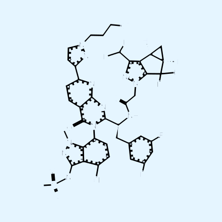 Cn1nc(NS(C)(=O)=O)c2c(Cl)ccc(-n3c([C@H](Cc4cc(F)cc(F)c4)NC(=O)Cn4nc(C(F)F)c5c4C(F)(F)[C@@H]4C[C@H]54)nc4nc(-c5ccn(CCCC(F)(F)F)n5)ccc4c3=O)c21